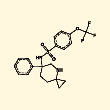 O=S(=O)(NC1(c2ccccc2)CCC2(CC2)NC1)c1ccc(OC(F)(F)F)cc1